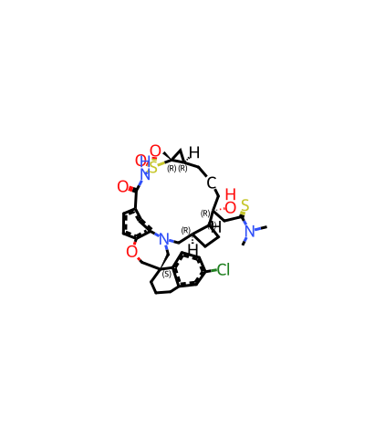 CN(C)C(=S)C[C@]1(O)CCC[C@@H]2C[C@@]2(C)S(=O)(=O)NC(=O)c2ccc3c(c2)N(C[C@@H]2CC[C@H]21)C[C@@]1(CCCc2cc(Cl)ccc21)CO3